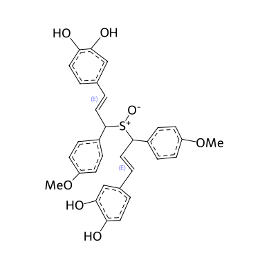 COc1ccc(C(/C=C/c2ccc(O)c(O)c2)[S+]([O-])C(/C=C/c2ccc(O)c(O)c2)c2ccc(OC)cc2)cc1